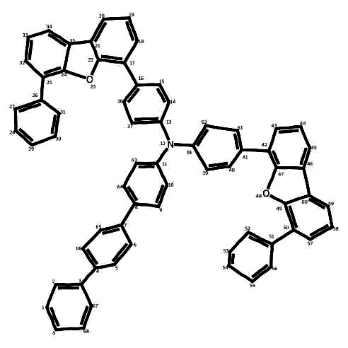 c1ccc(-c2ccc(-c3ccc(N(c4ccc(-c5cccc6c5oc5c(-c7ccccc7)cccc56)cc4)c4ccc(-c5cccc6c5oc5c(-c7ccccc7)cccc56)cc4)cc3)cc2)cc1